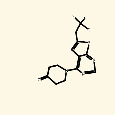 O=C1CCN(c2ncnc3sc(CC(F)(F)F)cc23)CC1